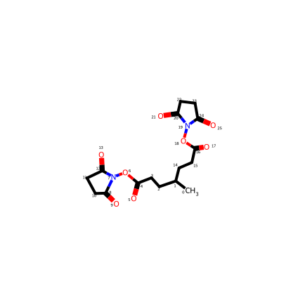 CC(CCC(=O)ON1C(=O)CCC1=O)CCC(=O)ON1C(=O)CCC1=O